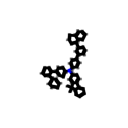 CC1(C)c2ccccc2-c2ccc(N(c3ccc(-c4cccc(-c5cccc6ccccc56)c4)cc3)c3ccc(-c4ccccc4-c4ccccc4)cc3)cc21